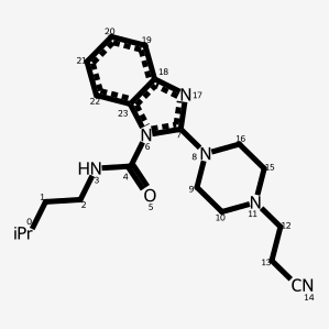 CC(C)CCNC(=O)n1c(N2CCN(CCC#N)CC2)nc2ccccc21